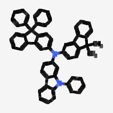 CC1(C)c2ccccc2-c2cc(N(c3ccc4c(c3)-c3ccccc3C4(c3ccccc3)c3ccccc3)c3ccc4c5ccccc5n(-c5ccccc5)c4c3)ccc21